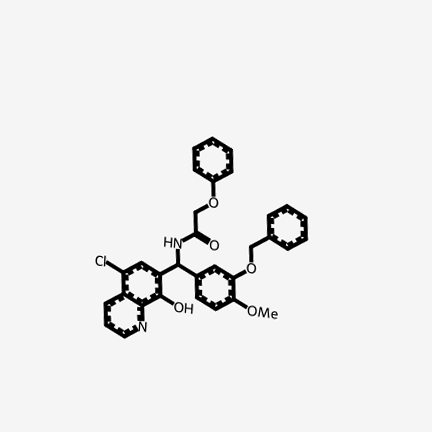 COc1ccc(C(NC(=O)COc2ccccc2)c2cc(Cl)c3cccnc3c2O)cc1OCc1ccccc1